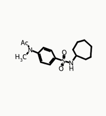 CC(=O)N(C)c1ccc(S(=O)(=O)NC2CCCCCC2)cc1